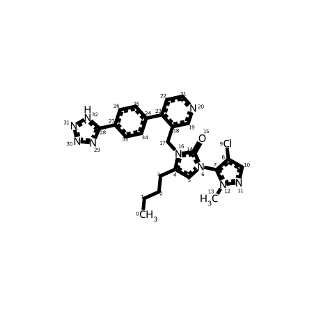 CCCCc1cn(-c2c(Cl)cnn2C)c(=O)n1Cc1cnccc1-c1ccc(-c2nnn[nH]2)cc1